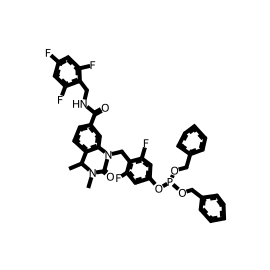 CC1c2ccc(C(=O)NCc3c(F)cc(F)cc3F)cc2N(Cc2c(F)cc(OP(OCc3ccccc3)OCc3ccccc3)cc2F)C(=O)N1C